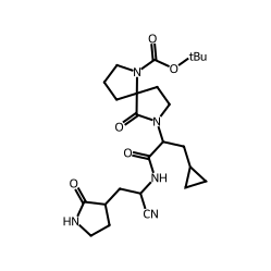 CC(C)(C)OC(=O)N1CCCC12CCN(C(CC1CC1)C(=O)NC(C#N)CC1CCNC1=O)C2=O